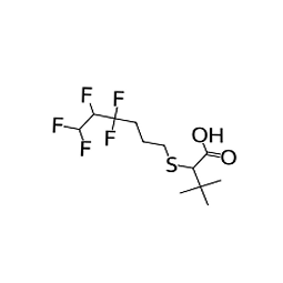 CC(C)(C)C(SCCCC(F)(F)C(F)C(F)F)C(=O)O